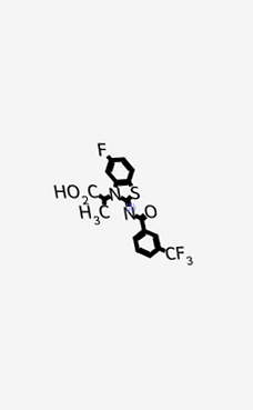 CC(C(=O)O)n1/c(=N/C(=O)c2cccc(C(F)(F)F)c2)sc2ccc(F)cc21